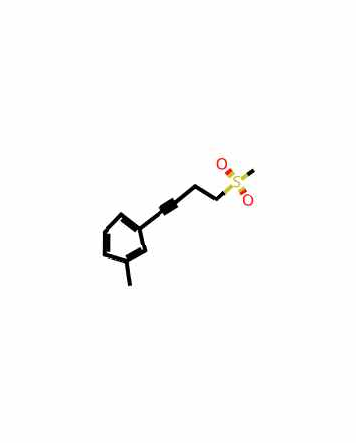 Cc1cccc(C#CCCS(C)(=O)=O)c1